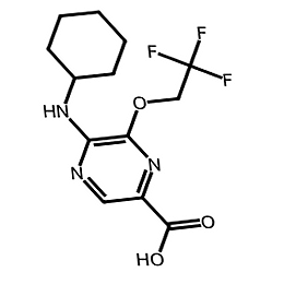 O=C(O)c1cnc(NC2CCCCC2)c(OCC(F)(F)F)n1